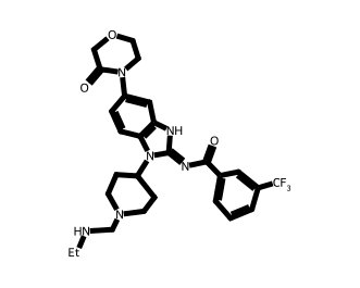 CCNCN1CCC(n2/c(=N/C(=O)c3cccc(C(F)(F)F)c3)[nH]c3cc(N4CCOCC4=O)ccc32)CC1